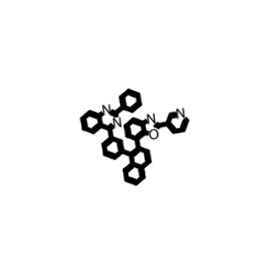 c1ccc(-c2nc(-c3cccc(-c4c(-c5cccc6nc(-c7cccnc7)oc56)ccc5ccccc45)c3)c3ccccc3n2)cc1